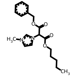 CCCCCOC(=O)C(C(=O)OCc1ccccc1)n1cc[n+](C)c1